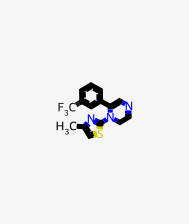 Cc1csc(N2CC=NC=C2c2cccc(C(F)(F)F)c2)n1